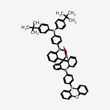 CC(C)(C)c1ccc(N(c2ccc(B3c4ccccc4C4(c5ccccc5B(c5ccc(N6c7ccccc7Oc7ccccc76)cc5)C5C=CC=CC54)C4C=CC=CC34)cc2)c2ccc(C(C)(C)C)cc2)cc1